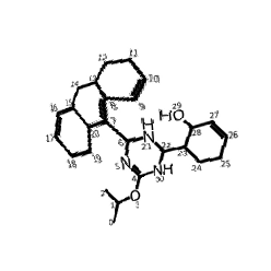 CC(C)OC1=NC(C2=C3C=CCCC3CC3C=CCCC23)NC(C2CCC=CC2O)N1